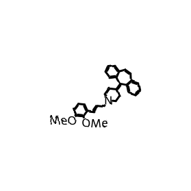 COc1cccc(/C=C/CN2CCC(=C3c4ccccc4C=Cc4ccccc43)CC2)c1OC